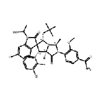 COc1cc(C(N)=O)ccc1N1C(=O)[C@H]2[C@H](c3cccc(Cl)c3F)C3(C(=O)N(C(C)O)c4cc(Cl)ncc43)[C@H](CC(C)(C)C)N2[C@H]1C